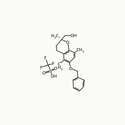 Cc1cc(OCc2ccccc2)c(C)c2c1O[C@](C)(CO)CC2.O=S(=O)(O)C(F)(F)F